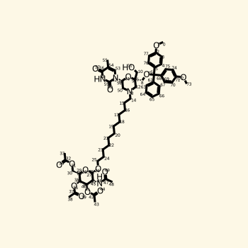 COc1ccc(C(OC[C@]2(CO)CN(CCCCCCCCCCCCO[C@@H]3O[C@H](COC(C)=O)[C@H](OC(C)=O)[C@H](OC(C)=O)[C@H]3NC(C)=O)C[C@H](n3cc(C)c(=O)[nH]c3=O)O2)(c2ccccc2)c2ccc(OC)cc2)cc1